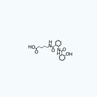 O=C(O)CCCCNC(=O)c1ccccc1NC(=O)c1ccccc1O